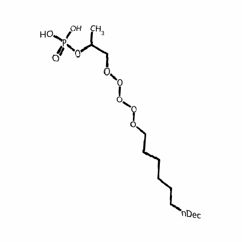 CCCCCCCCCCCCCCCCOOOOOCC(C)OP(=O)(O)O